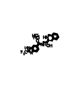 Cl.Cl.O=C(NC[C@@H](O)[C@@H]1Cc2ccccc2CN1)c1ccc2nc(C(F)(F)F)[nH]c2c1